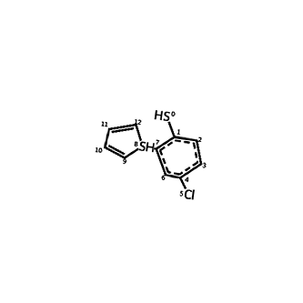 Sc1ccc(Cl)cc1[SH]1C=CC=C1